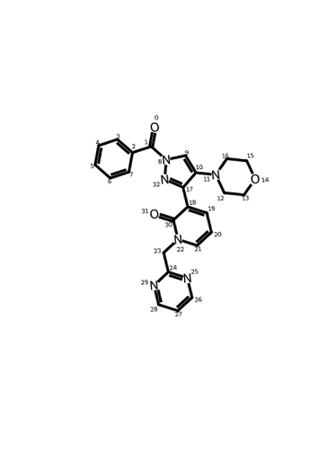 O=C(c1ccccc1)n1cc(N2CCOCC2)c(-c2cccn(Cc3ncccn3)c2=O)n1